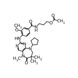 COc1cc(C(=O)NCCCOC(C)=O)ccc1Nc1ncc2c(n1)N(C1CCCC1)CC(C)(C)C(=O)N2C